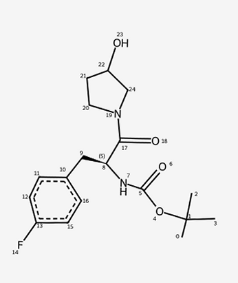 CC(C)(C)OC(=O)N[C@@H](Cc1ccc(F)cc1)C(=O)N1CCC(O)C1